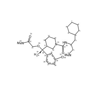 CNCC(CC1CCCCC1)NC(=O)N1CCCC([C@@](C)(OCC(=O)NC)c2cccc(Cl)c2)C1